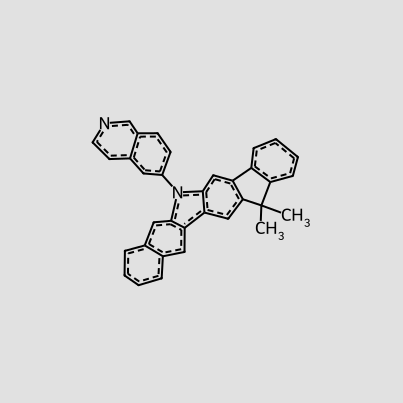 CC1(C)c2ccccc2-c2cc3c(cc21)c1cc2ccccc2cc1n3-c1ccc2cnccc2c1